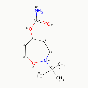 CC(C)(C)N1CCC(OC(N)=O)CCO1